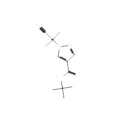 CC(C)(C)OC(=O)c1cnn(C(C)(C)C#N)c1